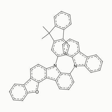 CC1(C)c2ccccc2-c2ccc(-n3c4ccc5c6ccccc6oc5c4c4cccc(-n5c6ccccc6c6ccccc65)c43)cc21